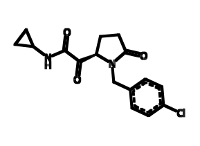 O=C(NC1CC1)C(=O)[C@H]1CCC(=O)N1Cc1ccc(Cl)cc1